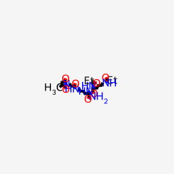 CCC(=O)NCCCCC(NC(=O)CC)C(=O)NC(CCCCNC(=O)CCN1C(=O)CC(C)C1=O)C(N)=O